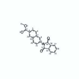 COC(=O)c1ccc2cc(N3C(=O)c4ccccc4C3=O)ccc2c1